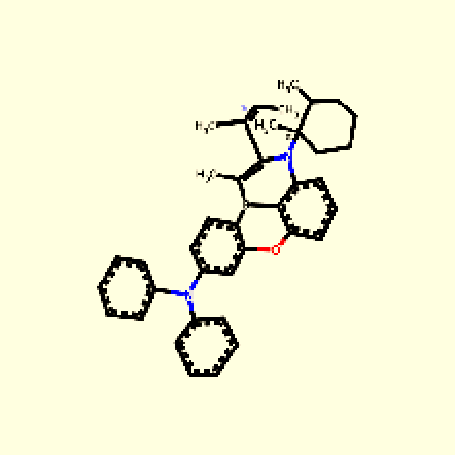 C/C=C(/C)C1=C(C)B2c3ccc(N(c4ccccc4)c4ccccc4)cc3Oc3cccc(c32)N1[C@@]1(C)CCCCC1C